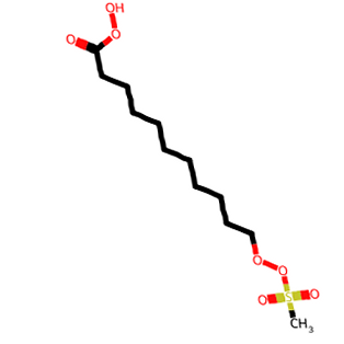 CS(=O)(=O)OOCCCCCCCCCCC(=O)OO